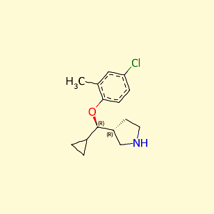 Cc1cc(Cl)ccc1O[C@H](C1CC1)[C@@H]1CCNC1